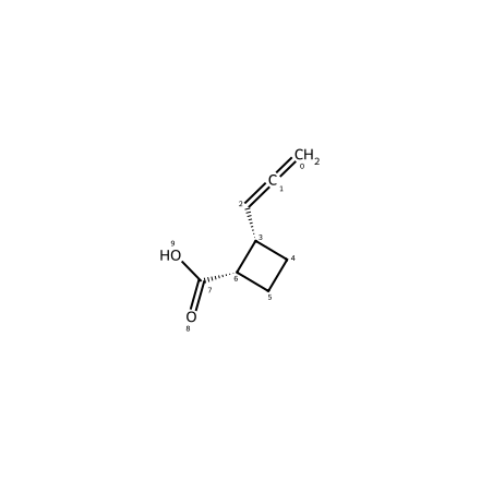 C=C=C[C@@H]1CC[C@@H]1C(=O)O